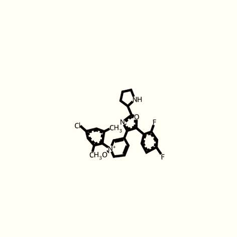 Cc1cc(Cl)cc(C)c1[N+]1([O-])C=C(c2nc(C3CCCN3)oc2-c2ccc(F)cc2F)C=CC1